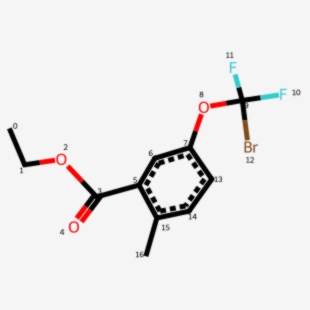 CCOC(=O)c1cc(OC(F)(F)Br)ccc1C